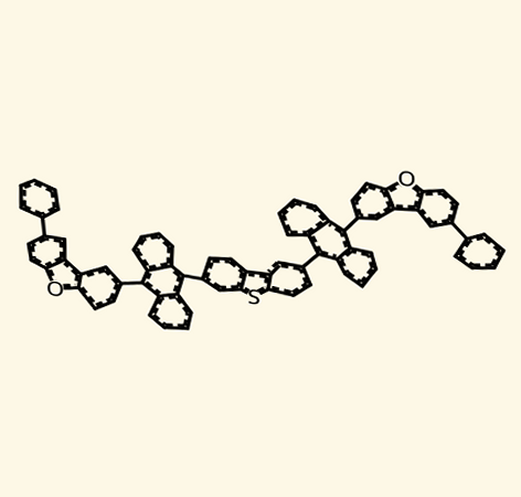 c1ccc(-c2ccc3oc4ccc(-c5c6ccccc6c(-c6ccc7c(c6)sc6ccc(-c8c9ccccc9c(-c9ccc%10oc%11ccc(-c%12ccccc%12)cc%11c%10c9)c9ccccc89)cc67)c6ccccc56)cc4c3c2)cc1